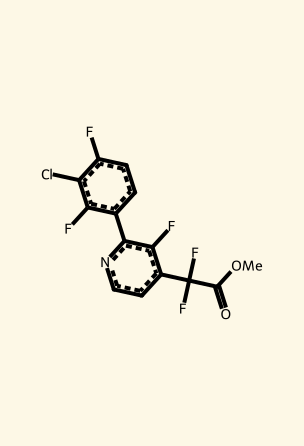 COC(=O)C(F)(F)c1ccnc(-c2ccc(F)c(Cl)c2F)c1F